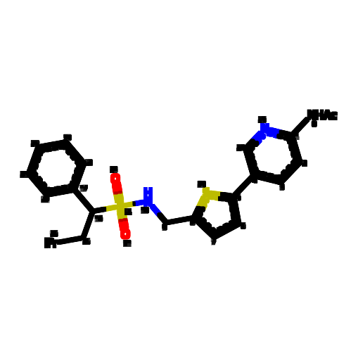 CC(=O)Nc1ccc(-c2ccc(CNS(=O)(=O)C(CC(C)C)c3ccccc3)s2)cn1